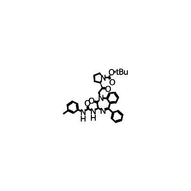 Cc1cccc(NC(=O)NC2N=C(c3ccccc3)c3ccccc3N(CC(=O)[C@H]3CCCN3C(=O)OC(C)(C)C)C2=O)c1